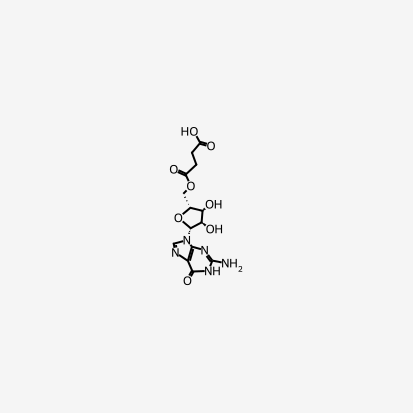 Nc1nc2c(ncn2[C@@H]2O[C@H](COC(=O)CCC(=O)O)[C@@H](O)[C@H]2O)c(=O)[nH]1